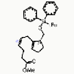 COC(=O)CC/C=C\CC1=CCC[C@@H]1CO[Si](c1ccccc1)(c1ccccc1)C(C)(C)C